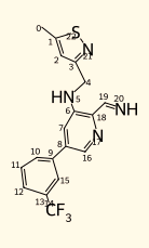 Cc1cc(CNc2cc(-c3cccc(C(F)(F)F)c3)cnc2C=N)ns1